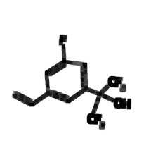 C=Cc1cc(F)cc(C(O)(C(F)(F)F)C(F)(F)F)c1